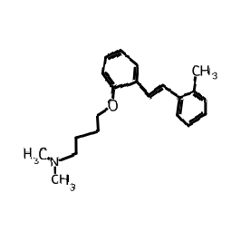 Cc1ccccc1/C=C/c1ccccc1OCCCCN(C)C